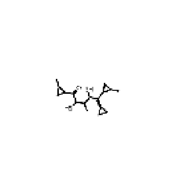 CC1CC1C(=O)C(S)C(C)C(S)C(=C1CC1)C1CC1C